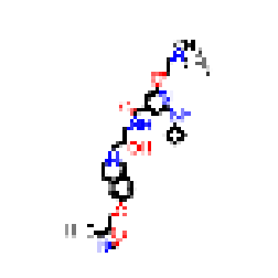 Cc1ncoc1COc1ccc2c(c1)CCN(C[C@@H](O)CNC(=O)c1cc(NC3CCC3)nc(OCCN(C)C)c1)C2